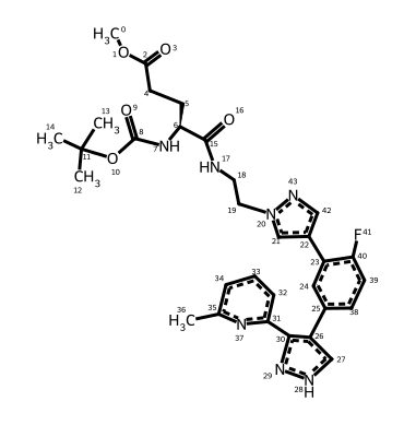 COC(=O)CC[C@H](NC(=O)OC(C)(C)C)C(=O)NCCn1cc(-c2cc(-c3c[nH]nc3-c3cccc(C)n3)ccc2F)cn1